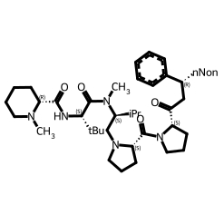 CCCCCCCCC[C@H](CC(=O)[C@@H]1CCCN1C(=O)[C@@H]1CCCN1C[C@H](C(C)C)N(C)C(=O)[C@@H](NC(=O)[C@H]1CCCCN1C)C(C)(C)C)c1ccccc1